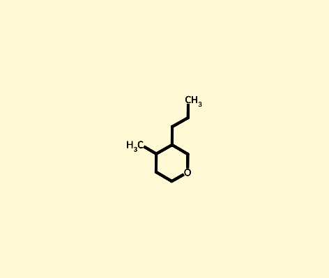 CCCC1COCCC1C